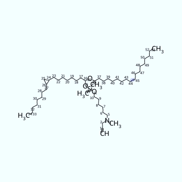 C#CCN(C)CCCCCCO[Si](C)(C)OC(CCCCCCCC1CC1CCCCCCCC)OCCCCCCCC/C=C\CCCCCCCC